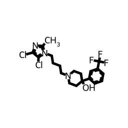 Cc1nc(Cl)c(Cl)n1CCCCN1CCC(O)(c2cccc(C(F)(F)F)c2)CC1